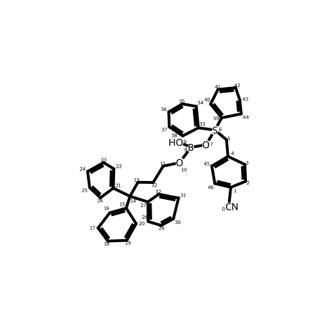 N#Cc1ccc(CS(OB(O)OCCCC(c2ccccc2)(c2ccccc2)c2ccccc2)(c2ccccc2)c2ccccc2)cc1